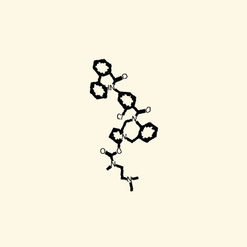 CN(C)CCN(C)C(=O)Oc1ccc2n1Cc1ccccc1N(C(=O)c1ccc(NC(=O)c3ccccc3-c3ccccc3)cc1Cl)C2